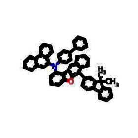 CC1(C)c2ccccc2-c2ccc(-c3c4ccccc4cc4c3oc3cccc(N(c5ccc(-c6ccccc6)cc5)c5cc6ccccc6c6ccccc56)c34)cc21